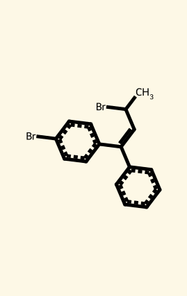 CC(Br)C=C(c1ccccc1)c1ccc(Br)cc1